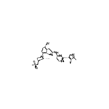 CC(C)c1ccc(N2C[C@H](CS(C)(=O)=O)[C@H]2C)c2cnc(Nc3ccnc(-c4cnn(C)c4F)n3)cc12